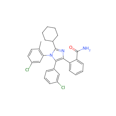 Cc1ccc(Cl)cc1-n1c(C2CCCCC2)nc(-c2ccccc2C(N)=O)c1-c1cccc(Cl)c1